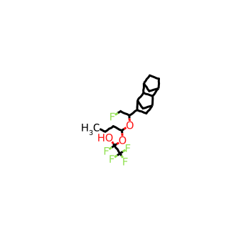 CCCC(OC(CF)C1CC2CC1C1C3CCC(C3)C21)OC(O)(F)C(F)(F)F